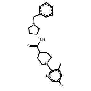 Cc1cc(F)cnc1N1CCC(C(=O)N[C@@H]2CCN(Cc3ccccc3)C2)CC1